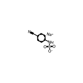 N#Cc1ccc(NS(=O)(=O)[O-])cc1.[Na+]